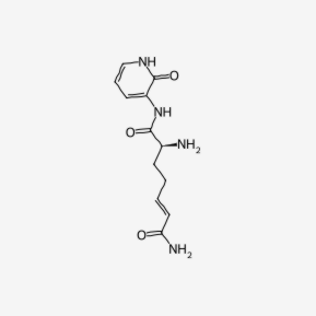 NC(=O)/C=C/CC[C@H](N)C(=O)Nc1ccc[nH]c1=O